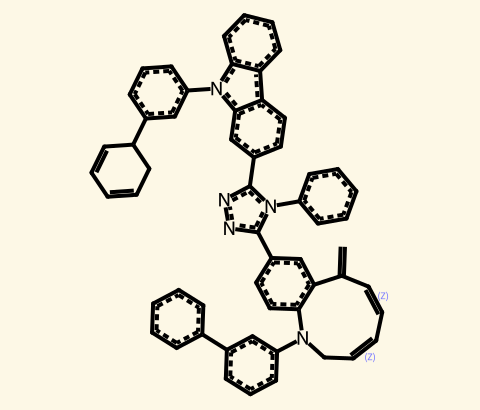 C=C1/C=C\C=C/CN(c2cccc(-c3ccccc3)c2)c2ccc(-c3nnc(-c4ccc5c6ccccc6n(-c6cccc(C7C=CC=CC7)c6)c5c4)n3-c3ccccc3)cc21